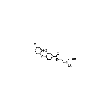 C#CCN(CC)CCNC(=O)c1ccc(Sc2ccc(F)cc2)c(O)c1